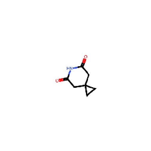 O=C1CC2(CC2)CC(=O)N1